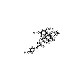 COc1cc(OC(C)=O)c2c3c1O[C@H]1[C@H](NC(=O)C#Cc4ccc(C(F)(F)F)cc4)CC[C@H]4[C@@H](C2)[N+](CC(C)C)(CC2CC2)CC[C@@]341